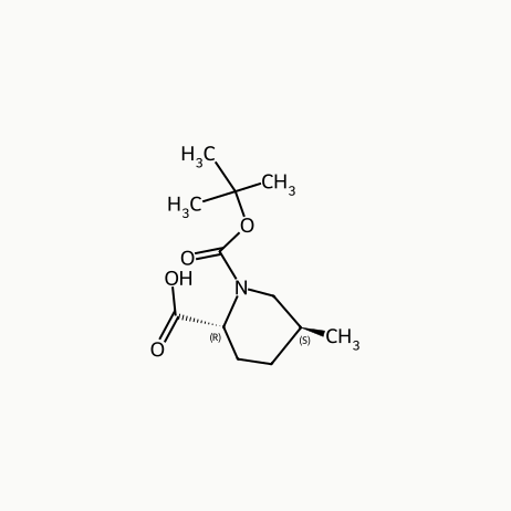 C[C@H]1CC[C@H](C(=O)O)N(C(=O)OC(C)(C)C)C1